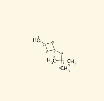 CC(C)(C)CC1CC(O)C1